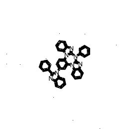 c1ccc(-c2nc3ccccc3n2-c2ccc3c(c2)n2c4ccccc4nc2n(-c2ccccc2)c2nc4ccccc4n32)cc1